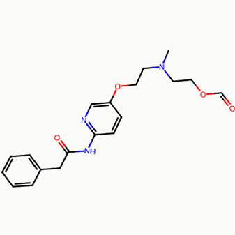 CN(CCOC=O)CCOc1ccc(NC(=O)Cc2ccccc2)nc1